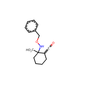 O=C=C1CCCCC1(NOCc1ccccc1)C(=O)O